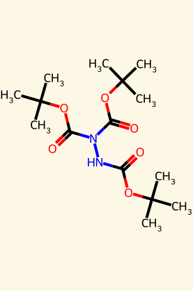 CC(C)(C)OC(=O)NN(C(=O)OC(C)(C)C)C(=O)OC(C)(C)C